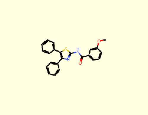 COc1cccc(C(=O)Nc2nc(-c3ccccc3)c(-c3ccccc3)s2)c1